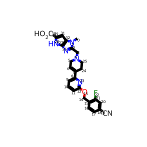 Cn1c(CN2CC=C(c3cccc(OCc4ccc(C#N)cc4F)n3)CC2)nc2[nH]c(C(=O)O)cc21